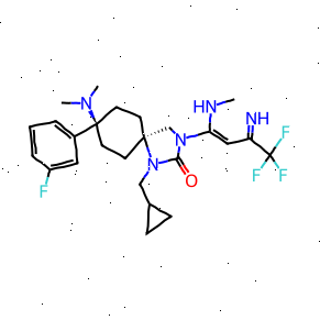 CN/C(=C\C(=N)C(F)(F)F)N1C[C@]2(CC[C@](c3cccc(F)c3)(N(C)C)CC2)N(CC2CC2)C1=O